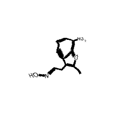 Cc1oc2c([N+](=O)[O-])cccc2c1CC=NO